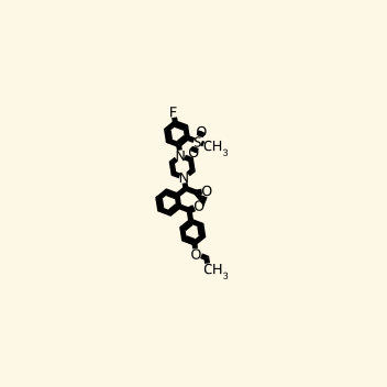 CCOc1ccc(C(=O)c2ccccc2C(C2CO2)N2CCN(c3ccc(F)cc3S(C)(=O)=O)CC2)cc1